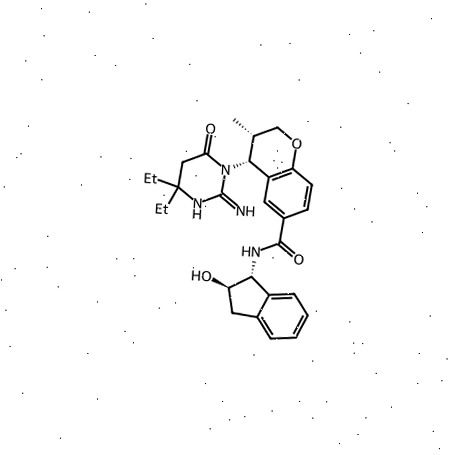 CCC1(CC)CC(=O)N([C@H]2c3cc(C(=O)N[C@@H]4c5ccccc5C[C@H]4O)ccc3OC[C@H]2C)C(=N)N1